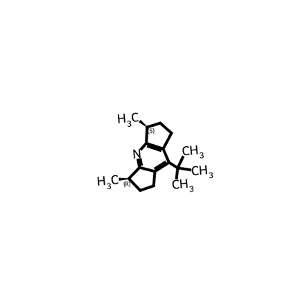 C[C@@H]1CCc2c1nc1c(c2C(C)(C)C)CC[C@@H]1C